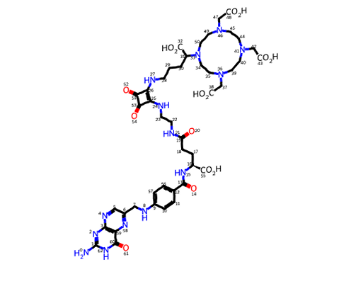 Nc1nc2ncc(CNc3ccc(C(=O)N[C@@H](CCC(=O)NCCNc4c(NCCCC(C(=O)O)N5CCN(CC(=O)O)CCN(CC(=O)O)CCN(CC(=O)O)CC5)c(=O)c4=O)C(=O)O)cc3)nc2c(=O)[nH]1